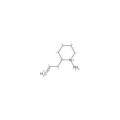 C=CCC1CCCCN1P